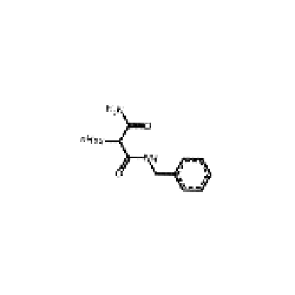 CCCCCCC(C(N)=O)C(=O)NCc1ccccc1